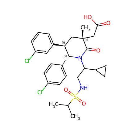 CC(C)S(=O)(=O)NCC(C1CC1)N1C(=O)[C@@](C)(CC(=O)O)C[C@H](c2cccc(Cl)c2)[C@H]1c1ccc(Cl)cc1